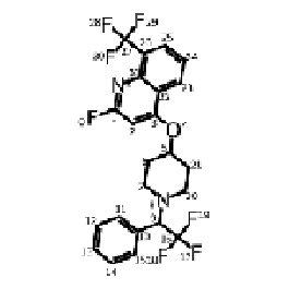 Fc1cc(OC2CCN(C(c3ccccc3)C(F)(F)F)CC2)c2cccc(C(F)(F)F)c2n1